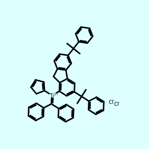 CC(C)(c1ccccc1)c1ccc2c(c1)-c1cc(C(C)(C)c3ccccc3)c[c]([Ti+2]([C]3=CC=CC3)=[C](c3ccccc3)c3ccccc3)c1C2.[Cl-].[Cl-]